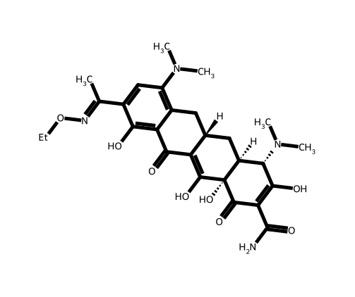 CCON=C(C)c1cc(N(C)C)c2c(c1O)C(=O)C1=C(O)[C@]3(O)C(=O)C(C(N)=O)=C(O)[C@@H](N(C)C)[C@@H]3C[C@H]1C2